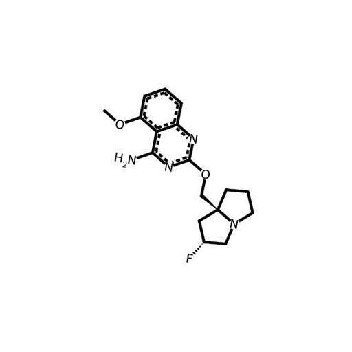 COc1cccc2nc(OC[C@@]34CCCN3C[C@H](F)C4)nc(N)c12